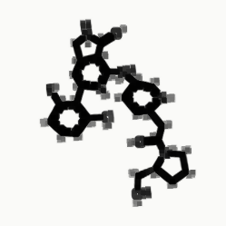 O=C1NCc2cc(-c3c(F)cccc3Cl)nc(Nc3ccc(CC(=O)N4CCC[C@H]4CO)nc3)c21